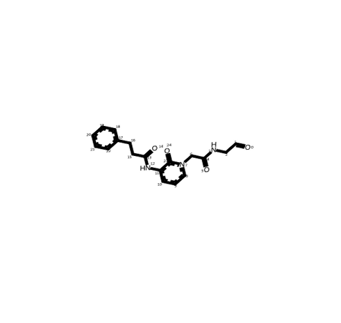 O=CCNC(=O)Cn1cccc(NC(=O)CCc2ccccc2)c1=O